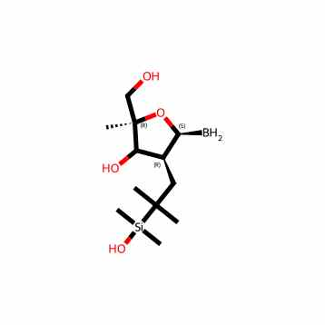 B[C@@H]1O[C@](C)(CO)C(O)[C@@H]1CC(C)(C)[Si](C)(C)O